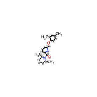 Cc1ccc(OCc2cccc(C(=O)N3C(C)CCCC3C)n2)c(C)c1